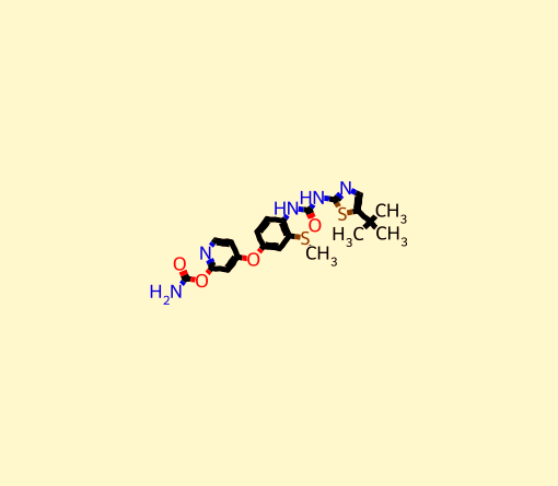 CSc1cc(Oc2ccnc(OC(N)=O)c2)ccc1NC(=O)Nc1ncc(C(C)(C)C)s1